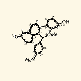 CNc1ccc(C(OC)c2c(-c3ccc(O)cc3)ccc3cc(O)ccc23)cc1